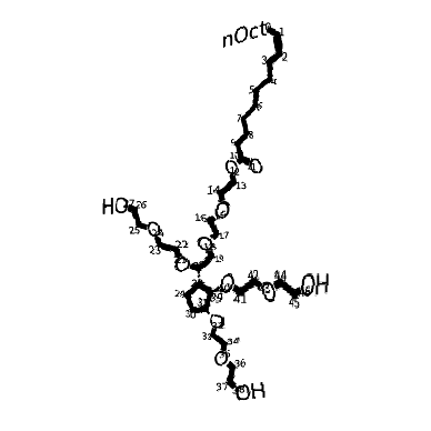 CCCCCCCC/C=C\CCCCCCCC(=O)OCCOCCOCC(OCCOCCO)[C@H]1CC[C@@H](OCCOCCO)[C@@H]1OCCOCCO